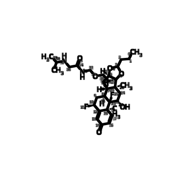 CCCC1O[C@@H]2C[C@H]3[C@@H]4C[C@H](F)C5=CC(=O)C=C[C@]5(C)[C@@]4(F)[C@@H](O)C[C@]3(C)[C@]2(C(=O)COCNC(=O)CNC(C)C)O1